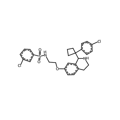 O=S(=O)(NCCOc1ccc2c(c1)C(C1(c3ccc(Cl)cc3)CCC1)NCC2)c1cccc(Cl)c1